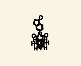 O=C1CCc2cc(N3C(=O)[C@@H]4[C@@H]5CC[C@@H]([C@@H]6C[C@@H]65)[C@@H]4C3=O)ccc21